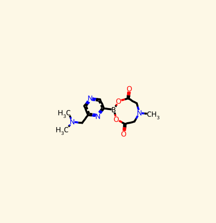 CN(C)Cc1cncc(B2OC(=O)CN(C)CC(=O)O2)n1